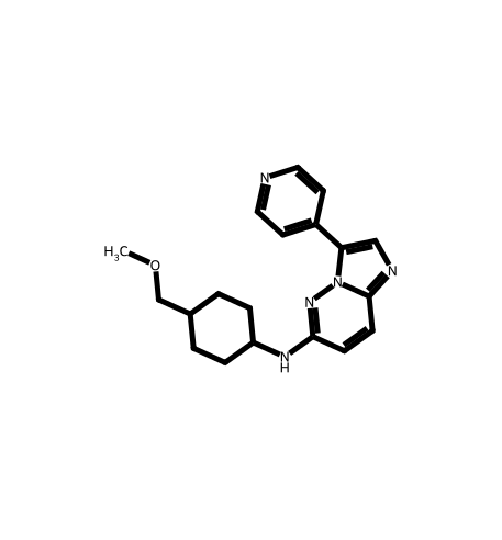 COCC1CCC(Nc2ccc3ncc(-c4ccncc4)n3n2)CC1